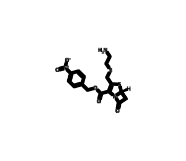 NCCSCC1=C(C(=O)OCc2ccc([N+](=O)[O-])cc2)N2C(=O)C[C@H]2S1